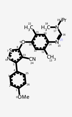 COc1ccc(-c2nsc(Oc3cc(C)c(/N=C\N(C)C(C)C)cc3C)c2C#N)cc1